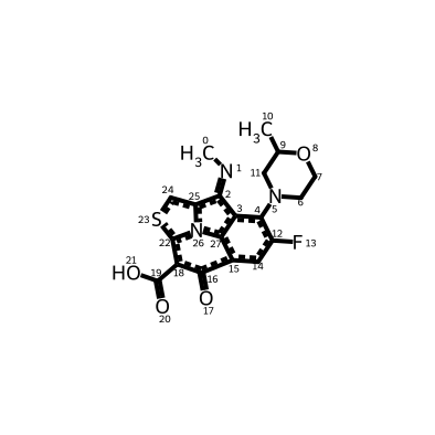 CN=c1c2c(N3CCOC(C)C3)c(F)cc3c(=O)c(C(=O)O)c4scc1n4c32